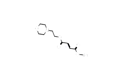 CC(C)OC(=O)/C=C/C(=O)OCCN1CCOCC1